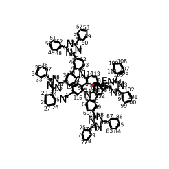 N#Cc1ccc(-c2cc(C(F)(F)F)ccc2-n2c3ccc(-c4nc(-c5ccccc5)nc(-c5ccccc5)n4)cc3c3cc(-c4nc(-c5ccccc5)nc(-c5ccccc5)n4)ccc32)c(-n2c3ccc(-c4nc(-c5ccccc5)nc(-c5ccccc5)n4)cc3c3cc(-c4nc(-c5ccccc5)nc(-c5ccccc5)n4)ccc32)c1